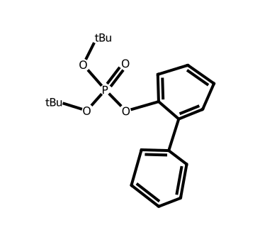 CC(C)(C)OP(=O)(Oc1ccccc1-c1ccccc1)OC(C)(C)C